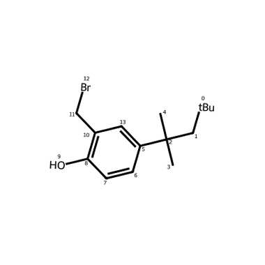 CC(C)(C)CC(C)(C)c1ccc(O)c(CBr)c1